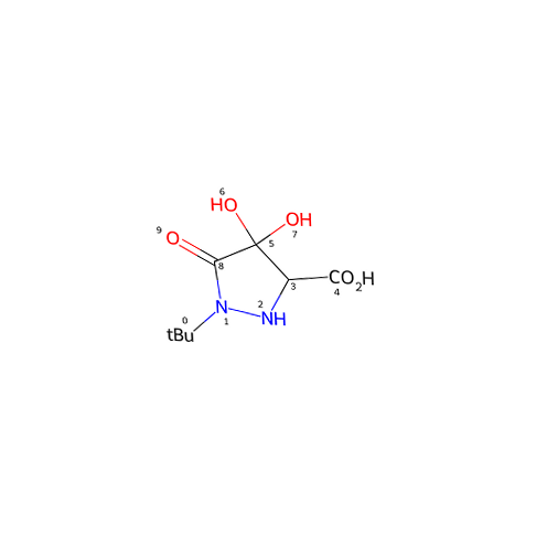 CC(C)(C)N1NC(C(=O)O)C(O)(O)C1=O